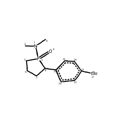 CN(C)P1(=O)CCCC1c1ccc(C(C)(C)C)cc1